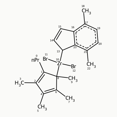 CCCC1=C(C)C(C)=C(C)[C]1(C)[Zr]([Br])([Br])[CH]1C=Cc2c(C)ccc(C)c21